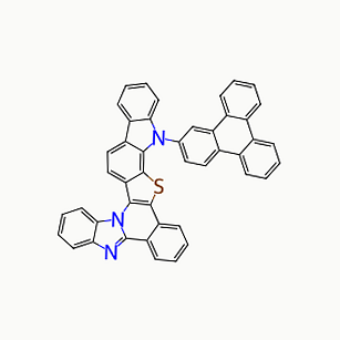 c1ccc2c(c1)nc1c3ccccc3c3sc4c(ccc5c6ccccc6n(-c6ccc7c8ccccc8c8ccccc8c7c6)c54)c3n21